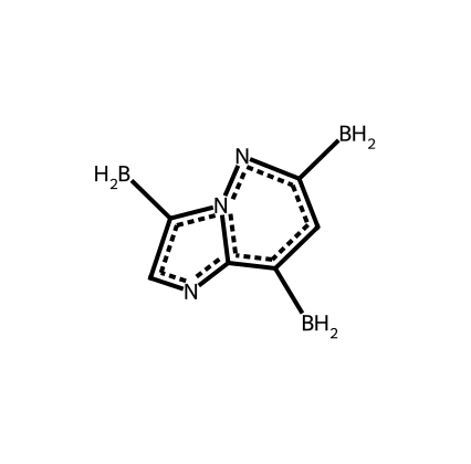 Bc1cc(B)c2ncc(B)n2n1